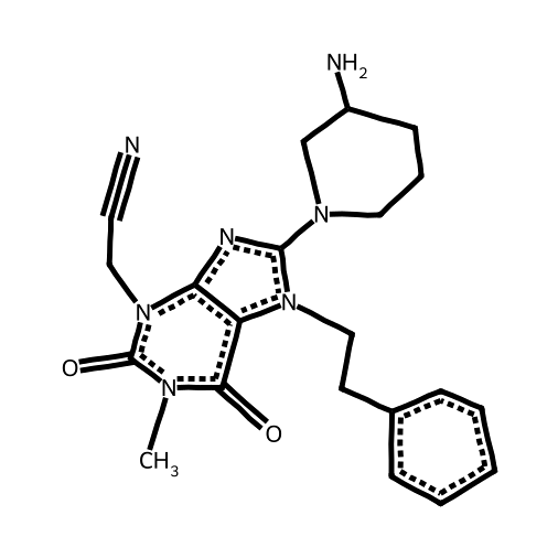 Cn1c(=O)c2c(nc(N3CCCC(N)C3)n2CCc2ccccc2)n(CC#N)c1=O